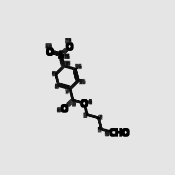 O=CCCCOC(=O)C1=CCC(=S(=O)=O)C=C1